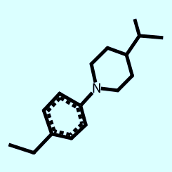 CCc1ccc(N2CCC(C(C)C)CC2)cc1